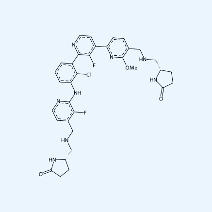 COc1nc(-c2ccnc(-c3cccc(Nc4nccc(CNC[C@@H]5CCC(=O)N5)c4F)c3Cl)c2F)ccc1CNC[C@@H]1CCC(=O)N1